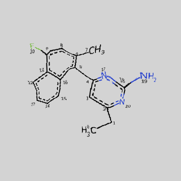 CCc1cc(-c2c(C)cc(F)c3ccccc23)nc(N)n1